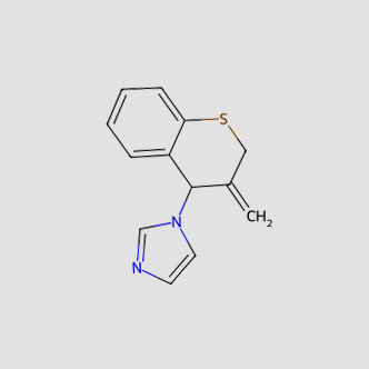 C=C1CSc2ccccc2C1n1ccnc1